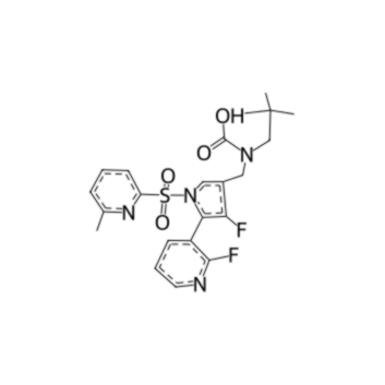 Cc1cccc(S(=O)(=O)n2cc(CN(CC(C)(C)C)C(=O)O)c(F)c2-c2cccnc2F)n1